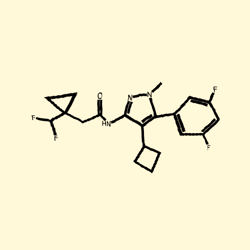 Cn1nc(NC(=O)CC2(C(F)F)CC2)c(C2CCC2)c1-c1cc(F)cc(F)c1